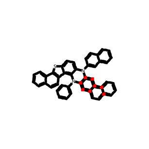 c1ccc(-c2cccc(N(c3ccc4ccccc4c3)c3ccc4sc5c6ccccc6ccc5c4c3N(c3ccccc3)c3ccc4ccccc4c3)c2)cc1